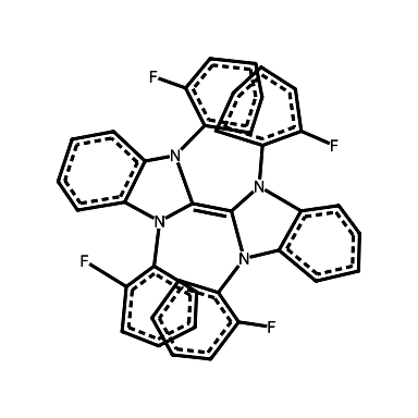 Fc1ccccc1N1C(=C2N(c3ccccc3F)c3ccccc3N2c2ccccc2F)N(c2ccccc2F)c2ccccc21